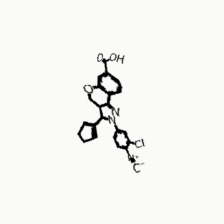 [C-]#[N+]c1ccc(N2N=C3c4ccc(C(=O)O)cc4OCC3C2C2=CCCC2)cc1Cl